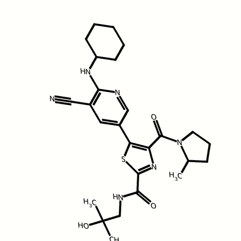 CC1CCCN1C(=O)c1nc(C(=O)NCC(C)(C)O)sc1-c1cnc(NC2CCCCC2)c(C#N)c1